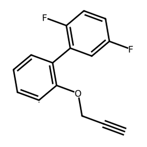 C#CCOc1[c]cccc1-c1cc(F)ccc1F